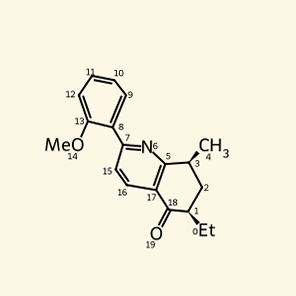 CC[C@@H]1C[C@H](C)c2nc(-c3ccccc3OC)ccc2C1=O